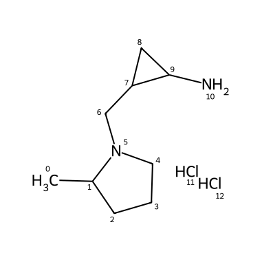 CC1CCCN1CC1CC1N.Cl.Cl